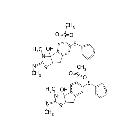 C/N=C1\SC2Cc3cc(Sc4ccccc4)c(S(C)(=O)=O)cc3C2(O)N1C.C/N=C1\SC2Cc3cc(Sc4ccccc4)c(S(C)(=O)=O)cc3C2(O)N1C